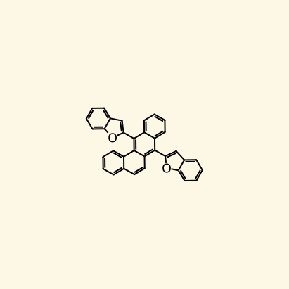 c1ccc2oc(-c3c4ccccc4c(-c4cc5ccccc5o4)c4c3ccc3ccccc34)cc2c1